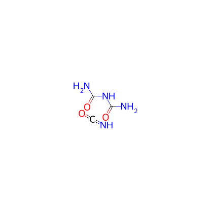 N=C=O.NC(=O)NC(N)=O